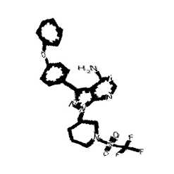 Nc1ncnc2c1c(-c1ccc(Oc3ccccc3)cc1)nn2C1CCCN(S(=O)(=O)C(F)(F)F)C1